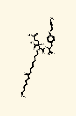 CC#CCOc1ccc(C[C@H](NC(=O)[C@@H](C=CCCCCCCC(=O)CCCCCCC)[C@@](O)(CCC(=O)O)C(=O)O)C(=O)O)cc1